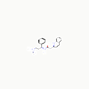 CCN(CC)CCC(NC(=O)Cc1ccc2ccccc2n1)c1ccccc1